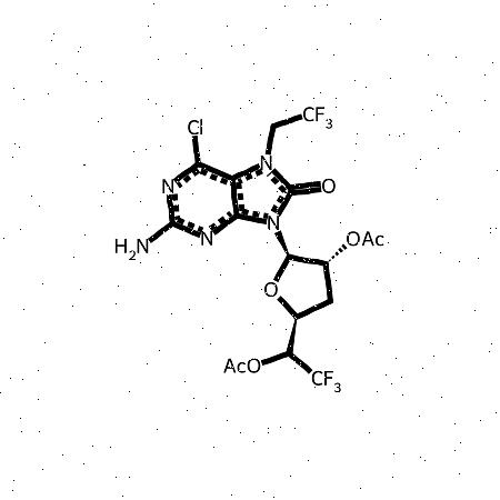 CC(=O)OC([C@@H]1C[C@@H](OC(C)=O)[C@H](n2c(=O)n(CC(F)(F)F)c3c(Cl)nc(N)nc32)O1)C(F)(F)F